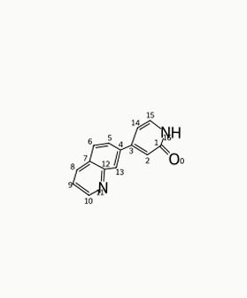 O=c1cc(-c2ccc3cccnc3c2)cc[nH]1